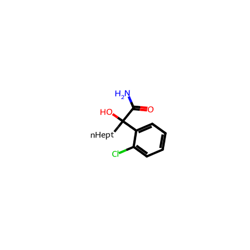 CCCCCCCC(O)(C(N)=O)c1ccccc1Cl